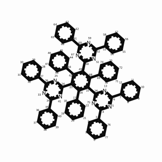 c1ccc(-c2nc(-c3ccccc3)nc(-c3c(-c4ccccc4)c(-c4nc(-c5ccccc5)nc(-c5ccccc5)n4)c(-c4ccccc4)c(-c4nc(-c5ccccc5)nc(-c5ccccc5)n4)c3-c3ccccc3)n2)cc1